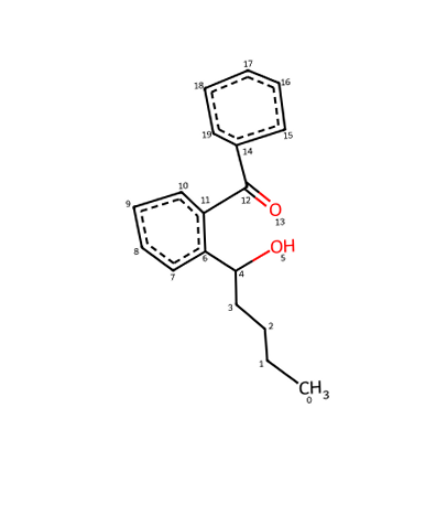 CCCCC(O)c1ccccc1C(=O)c1ccccc1